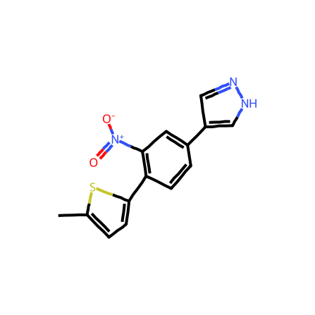 Cc1ccc(-c2ccc(-c3cn[nH]c3)cc2[N+](=O)[O-])s1